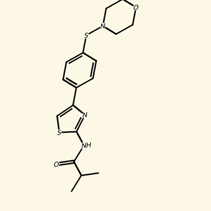 CC(C)C(=O)Nc1nc(-c2ccc(SN3CCOCC3)cc2)cs1